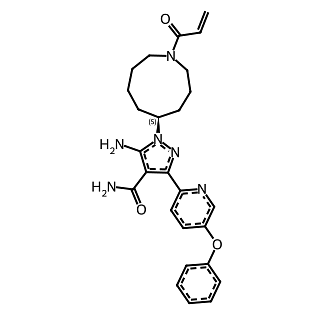 C=CC(=O)N1CCCC[C@H](n2nc(-c3ccc(Oc4ccccc4)cn3)c(C(N)=O)c2N)CCC1